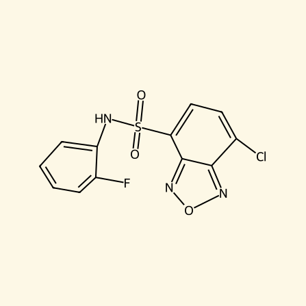 O=S(=O)(Nc1ccccc1F)c1ccc(Cl)c2nonc12